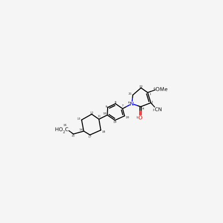 COC1=C(C#N)C(=O)N(c2ccc(C3CCC(CC(=O)O)CC3)cc2)CC1